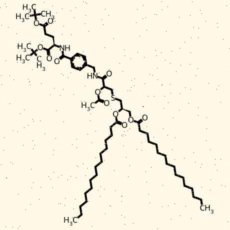 CCCCCCCCCCCCCCCC(=O)OC[C@H](CSCC(OC(C)=O)C(=O)NCc1ccc(C(=O)N[C@H](CCC(=O)OC(C)(C)C)C(=O)OC(C)(C)C)cc1)OC(=O)CCCCCCCCCCCCCCC